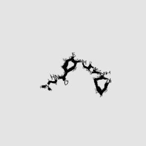 CN(C)CCNC(=O)c1ccc(F)c(NCc2cnc(Nc3ccccn3)s2)c1